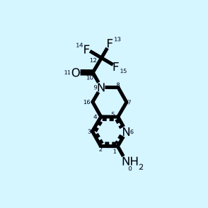 Nc1ccc2c(n1)CCN(C(=O)C(F)(F)F)C2